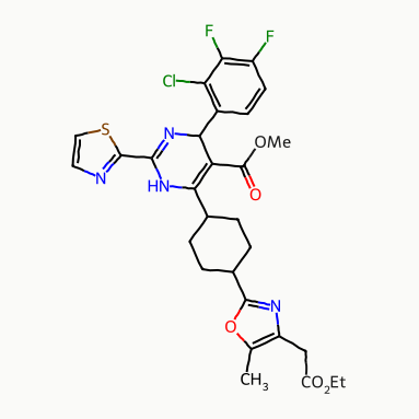 CCOC(=O)Cc1nc(C2CCC(C3=C(C(=O)OC)C(c4ccc(F)c(F)c4Cl)N=C(c4nccs4)N3)CC2)oc1C